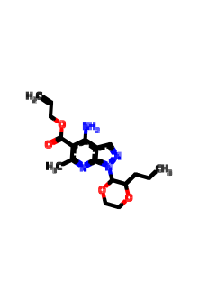 C=CCOC(=O)c1c(C)nc2c(cnn2C2OCCOC2CCC)c1N